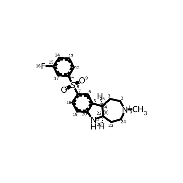 CN1CC[C@@H]2c3cc(S(=O)(=O)c4cccc(F)c4)ccc3N[C@@H]2CC1